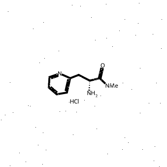 CNC(=O)[C@H](N)Cc1ccccn1.Cl